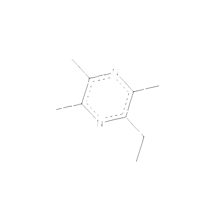 CCc1nc(C)c(C)nc1C